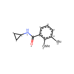 COc1c(C(=O)NC2CC2)cccc1C(C)(C)C